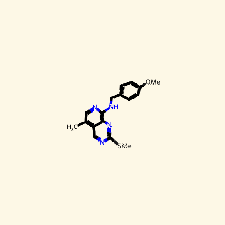 COc1ccc(CNc2ncc(C)c3cnc(SC)nc23)cc1